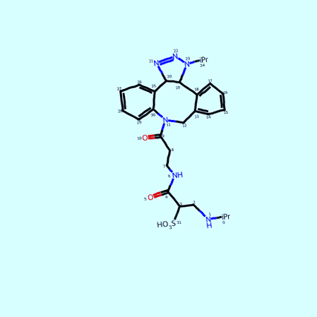 CC(C)NCC(C(=O)NCCC(=O)N1Cc2ccccc2C2C(N=NN2C(C)C)c2ccccc21)S(=O)(=O)O